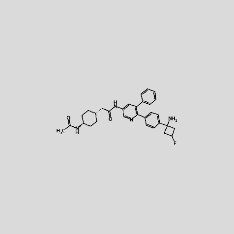 CC(=O)N[C@H]1CC[C@H](CC(=O)Nc2cnc(-c3ccc(C4(N)CC(F)C4)cc3)c(-c3ccccc3)c2)CC1